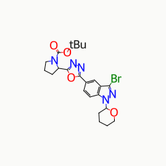 CC(C)(C)OC(=O)N1CCCC1c1nnc(-c2ccc3c(c2)c(Br)nn3C2CCCCO2)o1